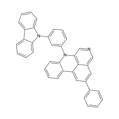 c1ccc(-c2cc3c4c(cncc4c2)N(c2cccc(-n4c5ccccc5c5ccccc54)c2)c2ccccc2-3)cc1